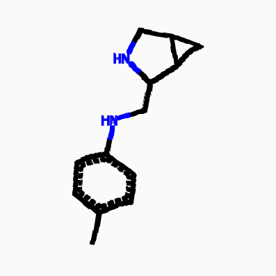 Cc1ccc(NCC2NCC3CC32)cc1